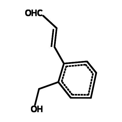 O=C/C=C/c1ccccc1CO